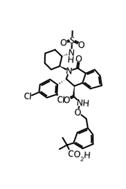 CC(C)(C(=O)O)c1cccc(CONC(=O)[C@@H]2c3ccccc3C(=O)N([C@H]3CCCC[C@@H]3NS(C)(=O)=O)[C@H]2c2ccc(Cl)cc2Cl)c1